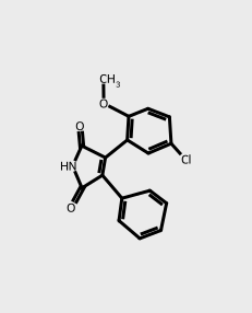 COc1ccc(Cl)cc1C1=C(c2ccccc2)C(=O)NC1=O